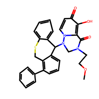 COCCN1CN(C2c3ccccc3SCc3c(-c4ccccc4)cccc32)n2ccc(=O)c(O)c2C1=O